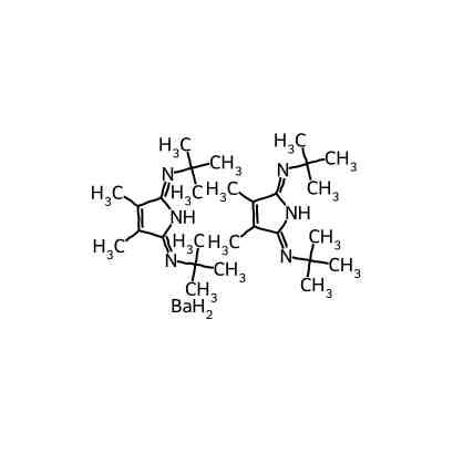 CC1=C(C)C(=NC(C)(C)C)NC1=NC(C)(C)C.CC1=C(C)C(=NC(C)(C)C)NC1=NC(C)(C)C.[BaH2]